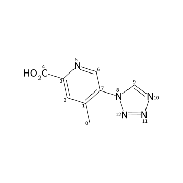 Cc1cc(C(=O)O)ncc1-n1cnnn1